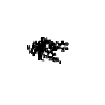 Cc1cc(CC(C)C[Si](C)(O[Si](C)(C)C)O[Si](C)(C)C)c(O)c(-n2ncc(Cc3ccccc3)n2)c1